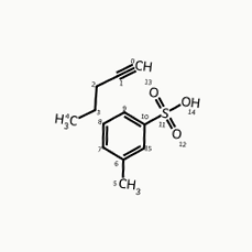 C#CCCC.Cc1cccc(S(=O)(=O)O)c1